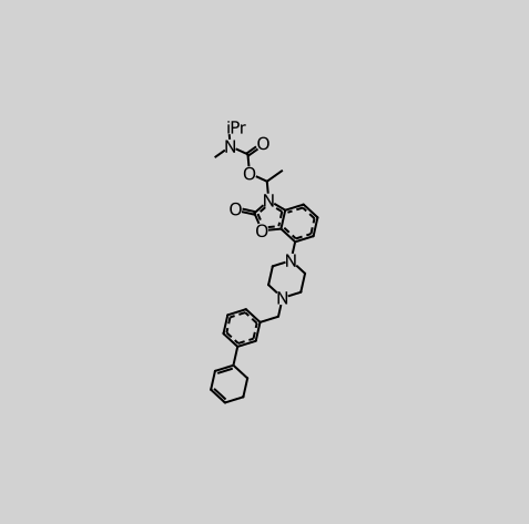 CC(C)N(C)C(=O)OC(C)n1c(=O)oc2c(N3CCN(Cc4cccc(C5=CC=CCC5)c4)CC3)cccc21